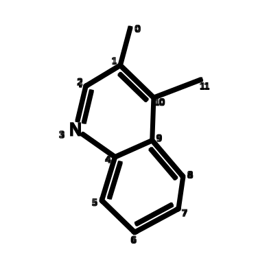 Cc1[c]nc2ccccc2c1C